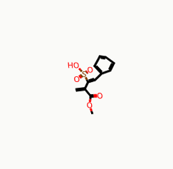 C=C(C(=O)OC)C(=Cc1ccccc1)S(=O)(=O)O